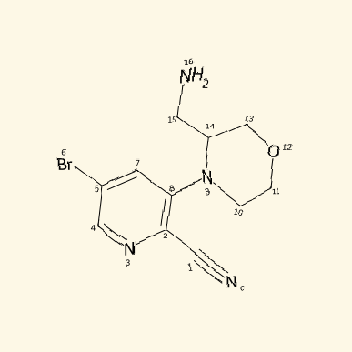 N#Cc1ncc(Br)cc1N1CCOCC1CN